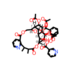 CC(=O)OC[C@]12[C@H](OC(C)=O)[C@H](OC(C)=O)[C@@H]3[C@@H](OC(=O)c4ccccc4)[C@@]14O[C@@]3(C)COC(=O)c1cccnc1C(C)C(C)C(=O)O[C@@H]([C@H](OC(=O)c1cccnc1)[C@@H]2OC(C)=O)[C@]4(C)O